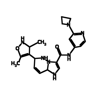 CC1=C(C2C=CC3NC=C(C(=O)Nc4ccnc(N5CCC5)c4)N3N2)C(C)NO1